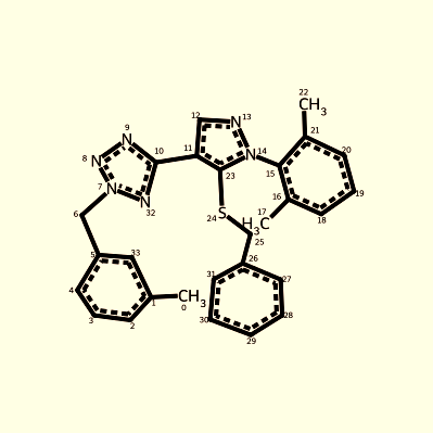 Cc1cccc(Cn2nnc(-c3cnn(-c4c(C)cccc4C)c3SCc3ccccc3)n2)c1